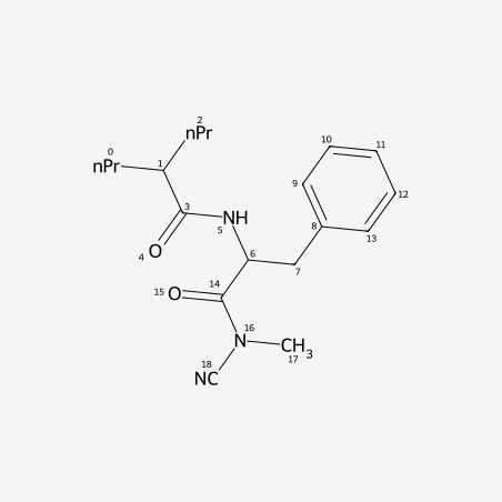 CCCC(CCC)C(=O)NC(Cc1ccccc1)C(=O)N(C)C#N